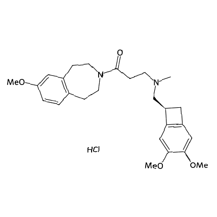 COc1ccc2c(c1)CCN(C(=O)CCN(C)C[C@H]1Cc3cc(OC)c(OC)cc31)CC2.Cl